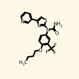 CCCCOc1ccc(N(C(N)=O)c2nc(-c3cccnc3)cs2)cc1C(F)(F)F